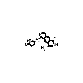 Cc1c[nH]c(=O)c2cc3ccnc(OC[C@@H]4CCC(=O)N4)c3cc12